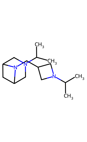 CC(C)N1CC(CN2C3CC2CN(C(C)C)C3)C1